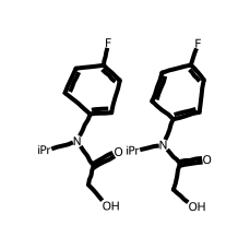 CC(C)N(C(=O)CO)c1ccc(F)cc1.CC(C)N(C(=O)CO)c1ccc(F)cc1